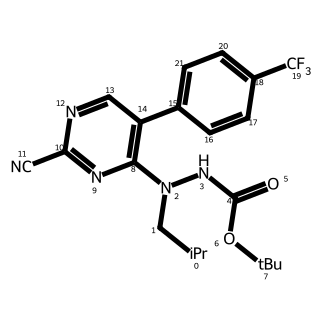 CC(C)CN(NC(=O)OC(C)(C)C)c1nc(C#N)ncc1-c1ccc(C(F)(F)F)cc1